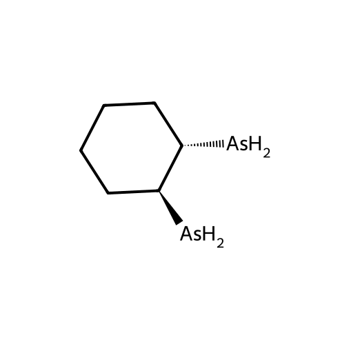 [AsH2][C@H]1CCCC[C@@H]1[AsH2]